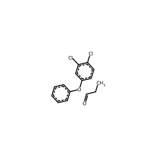 CCC=O.Clc1ccc(Oc2ccccc2)cc1Cl